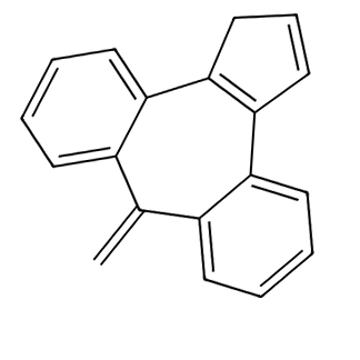 C=C1c2ccccc2C2=C(CC=C2)c2ccccc21